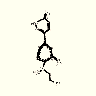 C=C1C=CC(c2ccc(N(C)CCO)c(C)c2)=NN1